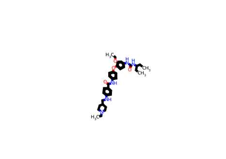 CCOc1cc(NC(=O)NC(CC)CC)ccc1Oc1ccc(NC(=O)c2ccc(NCC3CCN(CC)CC3)cc2)cc1